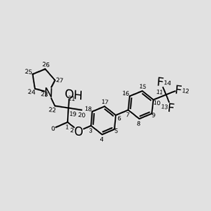 CC(Oc1ccc(-c2ccc(C(F)(F)F)cc2)cc1)C(C)(O)CN1CCCC1